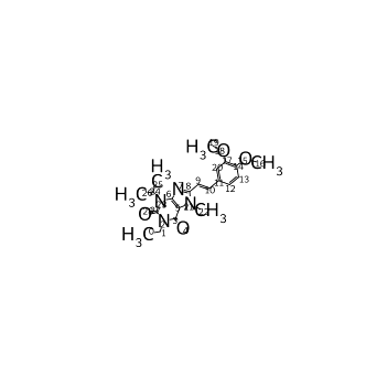 CCn1c(=O)c2c(nc(/C=C/c3ccc(OC)c(OC)c3)n2C)n(C(C)C)c1=O